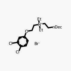 CCCCCCCCCCCC[N+](CC)(CC)CCOc1ccc(Cl)c(Cl)c1.[Br-]